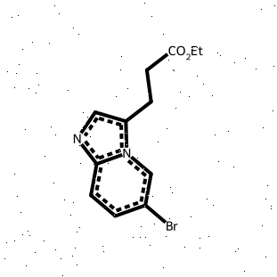 CCOC(=O)CCc1cnc2ccc(Br)cn12